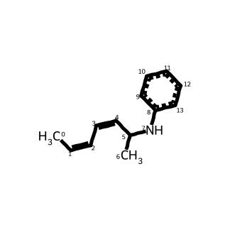 C/C=C\C=C/C(C)Nc1ccccc1